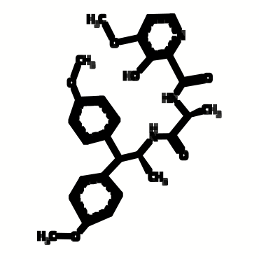 COc1ccc(C(c2ccc(OC)cc2)[C@H](C)NC(=O)[C@H](C)NC(=O)c2nccc(OC)c2O)cc1